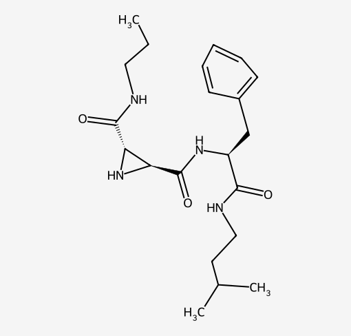 CCCNC(=O)[C@H]1N[C@@H]1C(=O)N[C@@H](Cc1ccccc1)C(=O)NCCC(C)C